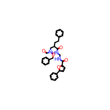 O=CN(CC(CCc1ccccc1)C(=O)NCNC(=O)c1ccc(-c2ccccc2)o1)OCc1ccccc1